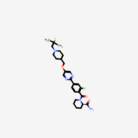 CC(C)(F)CN1CCC(COc2cnc(-c3ccc(C(=O)N4CCCC[C@@H]4C(N)=O)c(F)c3)nc2)CC1